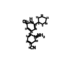 N#CC1=CC=C(c2cc(C3CCCCC3)[nH]c(=O)c2)N(N)C1